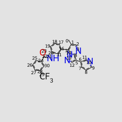 Cc1cnc2c(-c3cccnc3)cnn2c1-c1cccc(NC(=O)c2cccc(C(F)(F)F)c2)c1